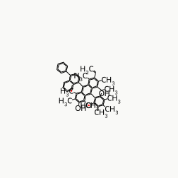 C=Cc1c(C)c(CC)c2c(-c3c(O)c(C)c(C)c(C)c3O)c3c(C)c(O)c(C)c(C)c3c(-c3ccc(-c4ccccc4)c4ccccc34)c2c1C